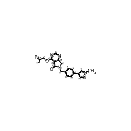 Cn1cc(-c2ccc(CN3Cc4ncnc(OCC(F)F)c4C3=O)cc2)cn1